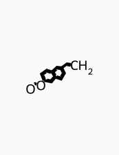 C=Cc1ccc2cc(OC=O)ccc2c1